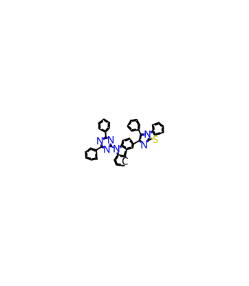 c1ccc(-c2nc(-c3ccccc3)nc(-n3c4ccccc4c4cc(-c5nc6sc7ccccc7n6c5-c5ccccc5)ccc43)n2)cc1